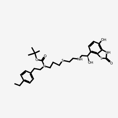 CCc1ccc(CCN(CCCSCCNC[C@H](O)c2ccc(O)c3[nH]c(=O)sc23)C(=O)OC(C)(C)C)cc1